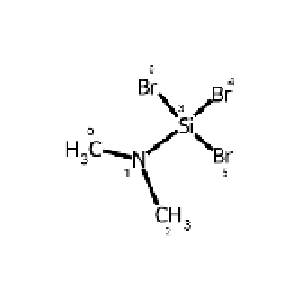 CN(C)[Si](Br)(Br)Br